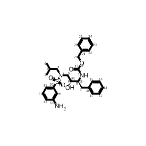 CC(C)CN(C[C@@H](O)[C@H](Cc1ccccc1)NC(=O)OCc1ccccc1)S(=O)(=O)c1cccc(N)c1